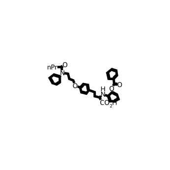 CCCC(=O)N(CCCOc1ccc(CCC(Nc2ccccc2OC(=O)c2ccccc2)C(=O)O)cc1)c1ccccc1